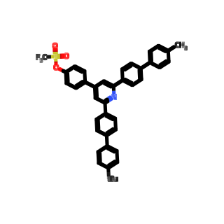 Cc1ccc(-c2ccc(-c3cc(-c4ccc(OS(=O)(=O)C(F)(F)F)cc4)cc(-c4ccc(-c5ccc(C(C)(C)C)cc5)cc4)n3)cc2)cc1